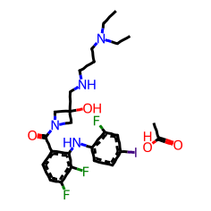 CC(=O)O.CCN(CC)CCCNCC1(O)CN(C(=O)c2ccc(F)c(F)c2Nc2ccc(I)cc2F)C1